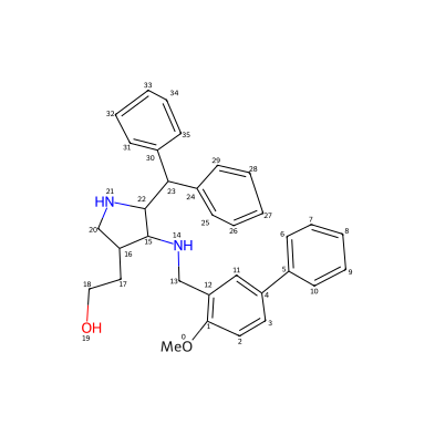 COc1ccc(-c2ccccc2)cc1CNC1C(CCO)CNC1C(c1ccccc1)c1ccccc1